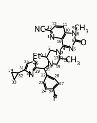 CCC1CN(c2nc(=O)n(C)c3ccc(C#N)nc23)[C@@H](C)CN1C(c1ccc(F)cc1)c1nc(C2CC2)cs1